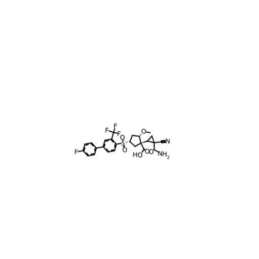 CO[C@H]1C[C@@H](S(=O)(=O)c2ccc(-c3ccc(F)cc3)cc2C(F)(F)F)C[C@]1(C(=O)O)C1CC1(C#N)C(N)=O